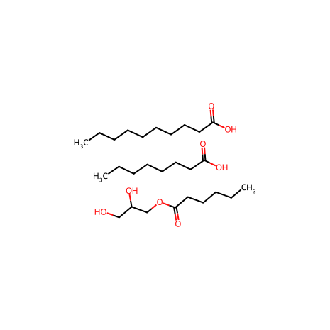 CCCCCC(=O)OCC(O)CO.CCCCCCCC(=O)O.CCCCCCCCCC(=O)O